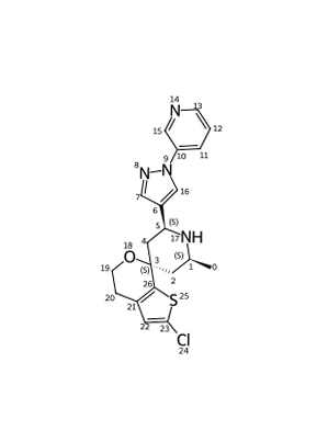 C[C@H]1C[C@@]2(C[C@@H](c3cnn(-c4cccnc4)c3)N1)OCCc1cc(Cl)sc12